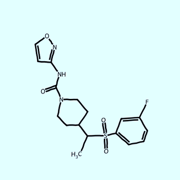 CC(C1CCN(C(=O)Nc2ccon2)CC1)S(=O)(=O)c1cccc(F)c1